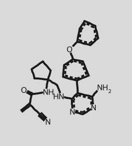 C=C(C#N)C(=O)NC1(CNc2ncnc(N)c2-c2ccc(Oc3ccccc3)cc2)CCCC1